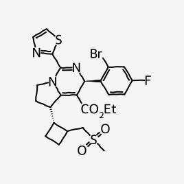 CCOC(=O)C1=C2C([C@H]3CCC3CS(C)(=O)=O)CCN2C(c2nccs2)=N[C@H]1c1ccc(F)cc1Br